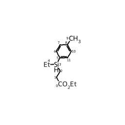 CCOC(=O)CC[SiH](CC)c1ccc(C)cc1